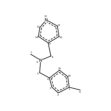 Cc1ccc(CN(C)Cc2ccncc2)cc1